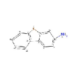 Nc1ccc2c(c1)sc1ccc#cc12